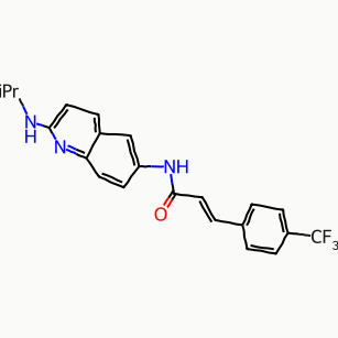 CC(C)Nc1ccc2cc(NC(=O)/C=C/c3ccc(C(F)(F)F)cc3)ccc2n1